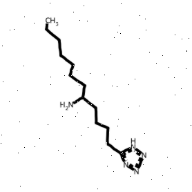 CCCCCCCC(N)CCCCc1nnn[nH]1